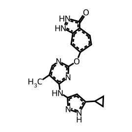 Cc1cnc(Oc2ccc3c(=O)[nH][nH]c3c2)nc1Nc1cc(C2CC2)[nH]n1